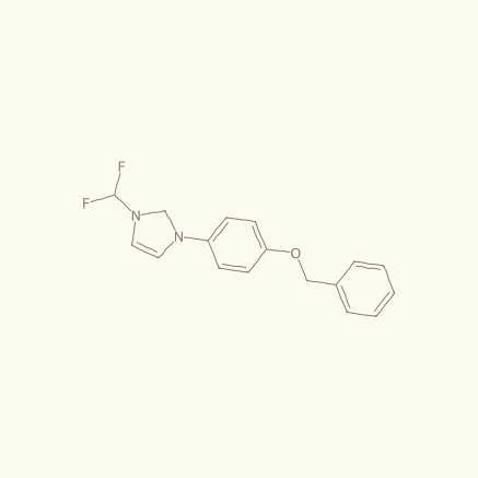 FC(F)N1C=CN(c2ccc(OCc3ccccc3)cc2)C1